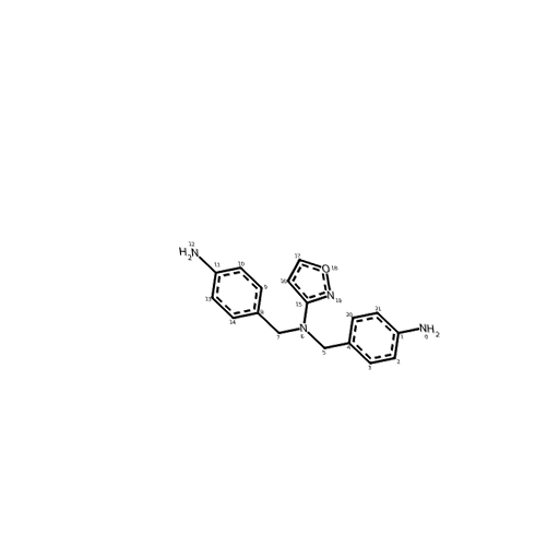 Nc1ccc(CN(Cc2ccc(N)cc2)c2ccon2)cc1